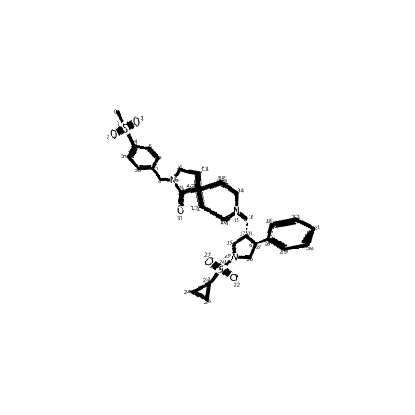 CS(=O)(=O)c1ccc(CN2CCC3(CCN(C[C@H]4CN(S(=O)(=O)C5CC5)C[C@@H]4c4ccccc4)CC3)C2=O)cc1